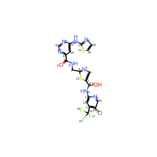 O=C(NCc1ncc(C(O)Nc2cc(C(F)(F)F)c(Cl)cn2)s1)c1cc(Nc2nccs2)ncn1